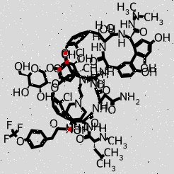 CN[C@H](CC(C)C)C(=O)N[C@H]1C(=O)N[C@@H](CC(N)=O)C(=O)N[C@H]2C(=O)N[C@H]3C(=O)N[C@H](C(=O)N[C@@H](C(=O)NN(C)C)c4cc(O)cc(O)c4-c4cc3ccc4O)[C@H](O)c3ccc(c(Cl)c3)Oc3cc2cc(c3O[C@@H]2O[C@H](CO)[C@@H](O)[C@H](O)[C@H]2O[C@H]2C[C@](C)(NCCN3CCC(NC(=O)Cc4ccc(OC(F)(F)F)cc4)CC3)[C@H](O)[C@H](C)O2)Oc2ccc(cc2Cl)[C@H]1O